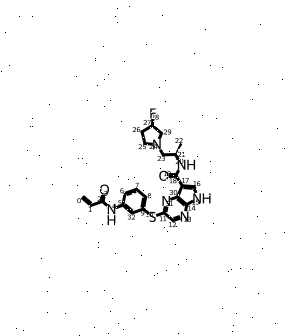 C=CC(=O)Nc1cccc(Sc2cnc3[nH]cc(C(=O)N[C@H](C)CN4CCC(F)C4)c3n2)c1